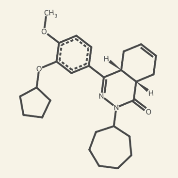 COc1ccc(C2=NN(C3CCCCCC3)C(=O)[C@H]3CC=CC[C@@H]23)cc1OC1CCCC1